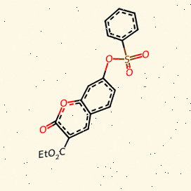 CCOC(=O)c1cc2ccc(OS(=O)(=O)c3ccccc3)cc2oc1=O